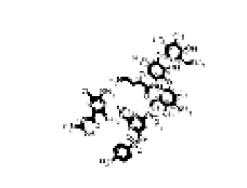 COc1cc(NS(=O)(=O)c2ccc(N)cc2)nc(OC)n1.N=C(N)NC(=O)c1nc(Cl)c(N)nc1N.NCC[C@H](O)C(=O)N[C@@H]1C[C@H](N)[C@@H](O[C@H]2O[C@H](CN)[C@@H](O)[C@H](O)[C@H]2O)[C@H](O)[C@H]1O[C@H]1O[C@H](CO)[C@@H](O)[C@H](N)[C@H]1O